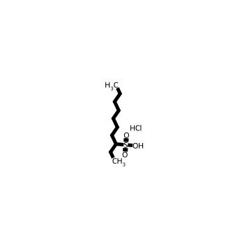 CCCCCCCC(CC)S(=O)(=O)O.Cl